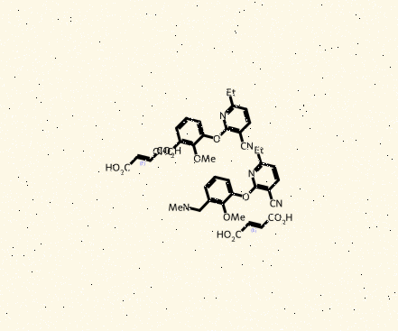 CCc1ccc(C#N)c(Oc2cccc(C=O)c2OC)n1.CCc1ccc(C#N)c(Oc2cccc(CNC)c2OC)n1.O=C(O)/C=C/C(=O)O.O=C(O)/C=C/C(=O)O